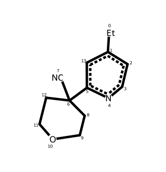 CCc1ccnc(C2(C#N)CCOCC2)c1